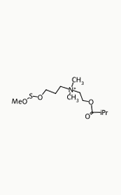 COSOCCC[N+](C)(C)CCOC(=O)C(C)C